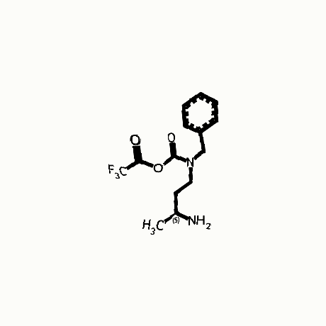 C[C@H](N)CCN(Cc1ccccc1)C(=O)OC(=O)C(F)(F)F